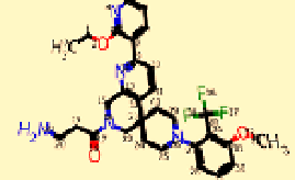 CCOc1ncccc1-c1ccc2c(n1)CN(C(=O)CCN)CC21CCN(c2cccc(OC)c2C(F)(F)F)CC1